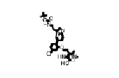 CN/C(C)=C(/CCOc1cc(Cl)ccc1-c1ccc2ncc(CCNC(=O)OC(C)(C)C)n2c1)C(=N)C(=O)O